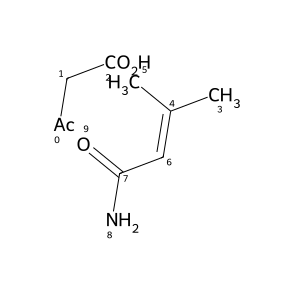 CC(=O)CC(=O)O.CC(C)=CC(N)=O